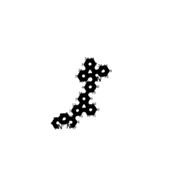 c1cnc2c(c1)ccc1c(-c3ccc4c5ccc(-c6ccc(-c7nc8ccccc8c8c9ccccc9c9ccccc9c78)cc6)cc5c5ccccc5c4c3)ccnc12